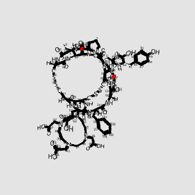 C[C@@H]1NC(=O)[C@@H]2CCCN2C(=O)[C@H](CC(N)=O)NC(=O)[C@@H]2CSSC[C@H](NC(=O)CN3CCN(CC(=O)O)CCN(CC(=O)O)CCN(CC(=O)O)CC3)C(=O)N[C@H]3CSSC[C@H](NC1=O)C(=O)N[C@@H]([C@@H](C)O)C(=O)NCC(=O)N[C@H](C(=O)N[C@@H](Cc1ccc(O)cc1)C(=O)O)CSSC[C@H](NC(=O)[C@H](Cc1ccccc1)NC(=O)[C@H](CCC(=O)O)NC3=O)C(=O)N2